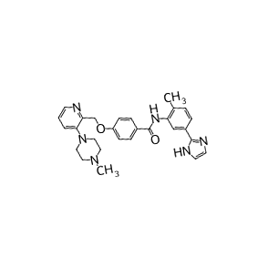 Cc1ccc(-c2ncc[nH]2)cc1NC(=O)c1ccc(OCc2ncccc2N2CCN(C)CC2)cc1